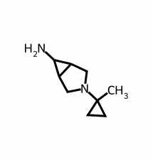 CC1(N2CC3C(N)C3C2)CC1